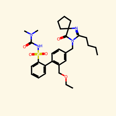 CCCCC1=NC2(CCCC2)C(=O)N1Cc1ccc(-c2ccccc2S(=O)(=O)NC(=O)N(C)C)c(COCC)c1